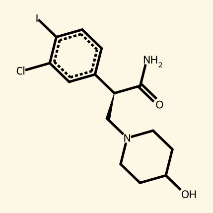 NC(=O)[C@@H](CN1CCC(O)CC1)c1ccc(I)c(Cl)c1